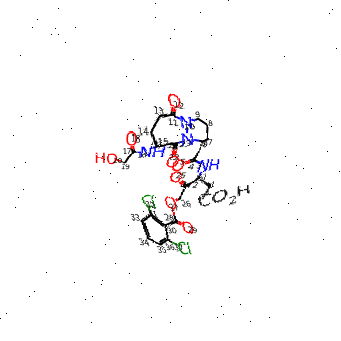 O=C(O)C[C@H](NC(=O)[C@@H]1CCCN2C(=O)CC[C@H](NC(=O)CO)C(=O)N12)C(=O)COC(=O)c1c(Cl)cccc1Cl